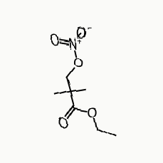 CCOC(=O)C(C)(C)CO[N+](=O)[O-]